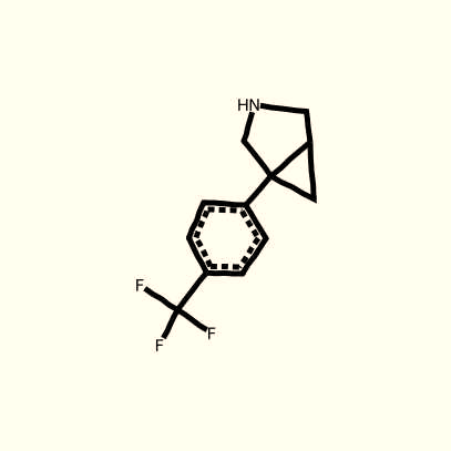 FC(F)(F)c1ccc(C23CNCC2C3)cc1